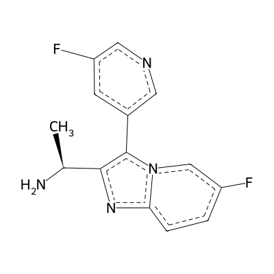 C[C@H](N)c1nc2ccc(F)cn2c1-c1cncc(F)c1